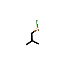 CC(C)CSF